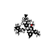 N=C(NS(=O)(=O)C1CC1)c1c(Cl)ccc(-n2c([C@H](Cc3cc(F)cc(F)c3)NC(=O)Cn3nc(C(F)F)c4c3C(F)(F)[C@@H]3C[C@H]43)nc(-c3ccc(C(F)(F)F)nc3)cc2=O)c1NCC(F)F